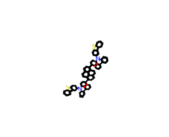 c1ccc(-c2ccccc2N(c2ccc(-c3ccc4ccc5c(-c6ccc(N(c7ccc8sc9ccccc9c8c7)c7ccccc7-c7ccccc7)cc6)ccc6ccc3c4c65)cc2)c2ccc3sc4ccccc4c3c2)cc1